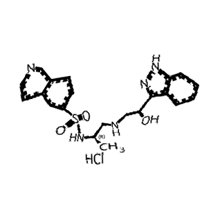 C[C@H](CNCC(O)c1n[nH]c2ccccc12)NS(=O)(=O)c1ccc2cnccc2c1.Cl